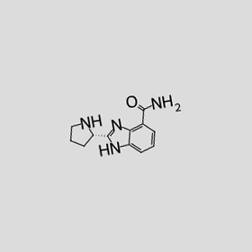 NC(=O)c1cccc2[nH]c([C@@H]3CCCN3)nc12